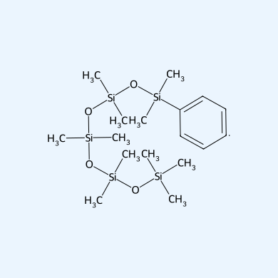 C[Si](C)(C)O[Si](C)(C)O[Si](C)(C)O[Si](C)(C)O[Si](C)(C)c1cc[c]cc1